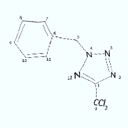 ClC(Cl)(Cl)c1nnn(Cc2ccccc2)n1